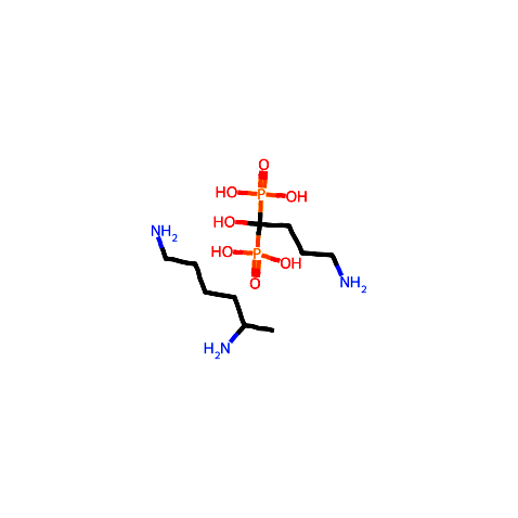 CC(N)CCCCN.NCCCC(O)(P(=O)(O)O)P(=O)(O)O